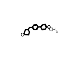 COc1ccc(-c2ccc(CC3CCC4OC4C3)cc2)cc1